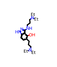 CCN(CC)CCCNc1n[nH]c2ccc(CCCN(CC)CC)c(O)c12